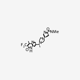 CNC(=O)c1ccc(N2CCN([C@@H](C)c3cnc4c(C)c(C(F)(F)F)c(=O)[nH]c4c3)CC2)cn1